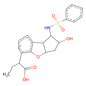 CCC(C(=O)O)c1cccc2c1OC1CC(O)C(NS(=O)(=O)c3ccccc3)C21